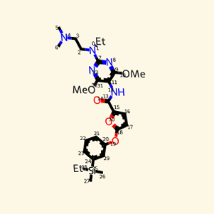 CCN(CCN(C)C)c1nc(OC)c(NC(=O)c2ccc(Oc3cccc([Si](C)(C)CC)c3)o2)c(OC)n1